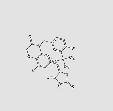 CC(C)(O)c1cc(CN2C(=O)COc3c(F)cc(C=C4SC(=S)NC4=O)cc32)ccc1F